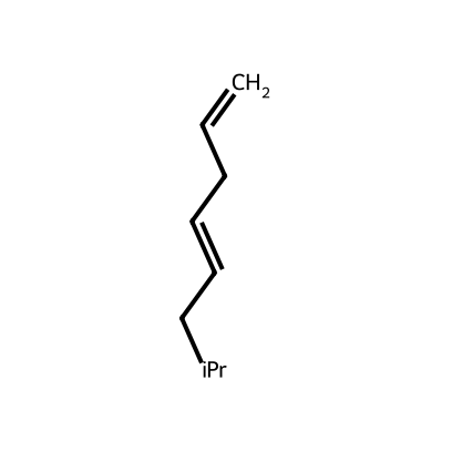 C=CCC=CCC(C)C